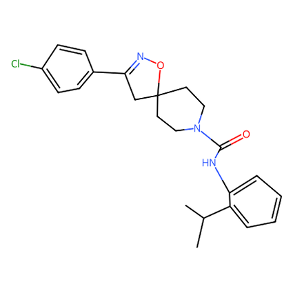 CC(C)c1ccccc1NC(=O)N1CCC2(CC1)CC(c1ccc(Cl)cc1)=NO2